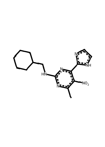 Cc1nc(NCC2CCCCC2)nc(-c2ncc[nH]2)c1[N+](=O)[O-]